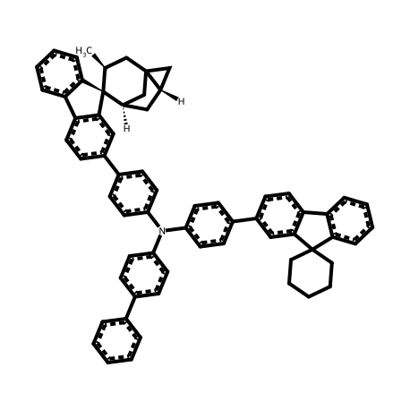 C[C@H]1CC23C[C@@H]2C[C@H](C3)[C@@]12c1ccccc1-c1ccc(-c3ccc(N(c4ccc(-c5ccccc5)cc4)c4ccc(-c5ccc6c(c5)C5(CCCCC5)c5ccccc5-6)cc4)cc3)cc12